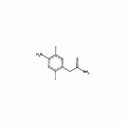 Cc1cc(CC(N)=S)c(C)cc1N